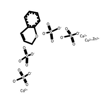 C1=Cc2ccccc2OC1.O=S(=O)([O-])[O-].O=S(=O)([O-])[O-].O=S(=O)([O-])[O-].O=S(=O)([O-])[O-].[Ca+2].[Cd+2].[Cu+2].[Zn+2]